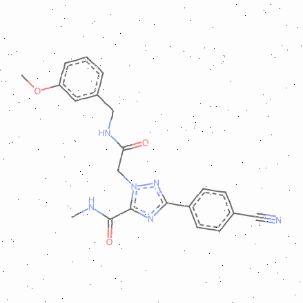 CNC(=O)c1nc(-c2ccc(C#N)cc2)nn1CC(=O)NCc1cccc(OC)c1